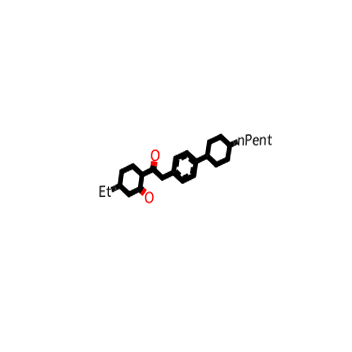 CCCCCC1CCC(c2ccc(CC(=O)C3CCC(CC)CC3=O)cc2)CC1